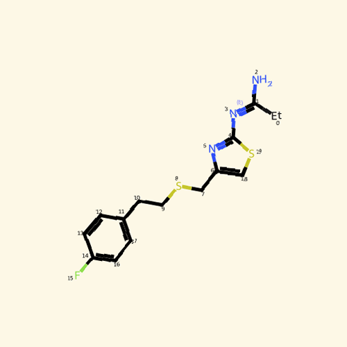 CC/C(N)=N\c1nc(CSCCc2ccc(F)cc2)cs1